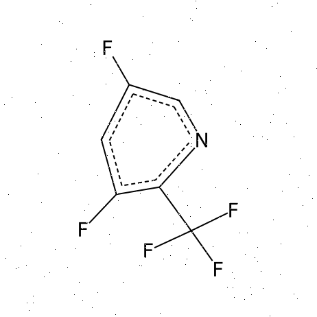 Fc1cnc(C(F)(F)F)c(F)c1